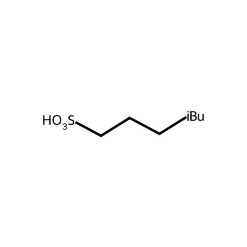 [CH2]CC(C)CCCS(=O)(=O)O